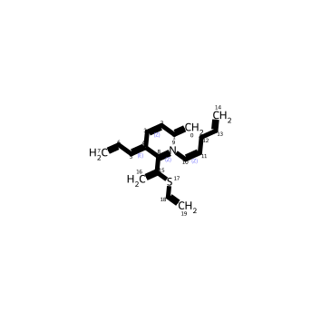 C=C\C=C/C(=C\C=C)C(=N/C=C\CC=C)/C(=C)SC=C